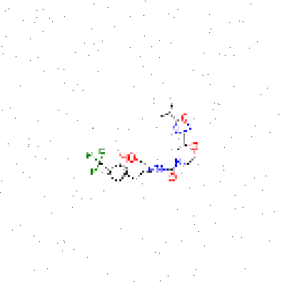 CC(C)c1nc(C2CN(C(=O)NCC(CO)Cc3ccc(C(F)(F)F)cc3)CCO2)no1